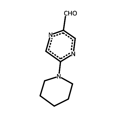 O=Cc1cnc(N2CCCCC2)cn1